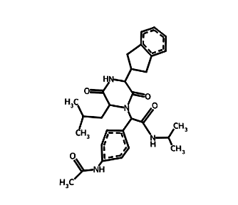 CC(=O)Nc1ccc(C(C(=O)NC(C)C)N2C(=O)C(C3Cc4ccccc4C3)NC(=O)C2CC(C)C)cc1